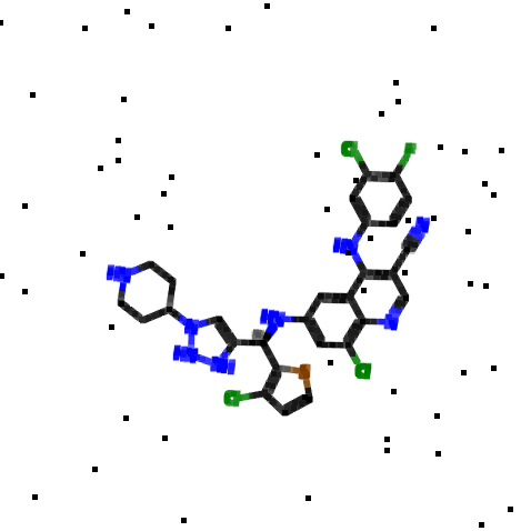 N#Cc1cnc2c(Cl)cc(N[C@H](C3=CN(C4CCNCC4)NN3)c3sccc3Cl)cc2c1Nc1ccc(F)c(Cl)c1